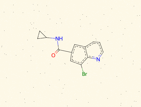 O=C(NC1CC1)c1cc(Br)c2ncccc2c1